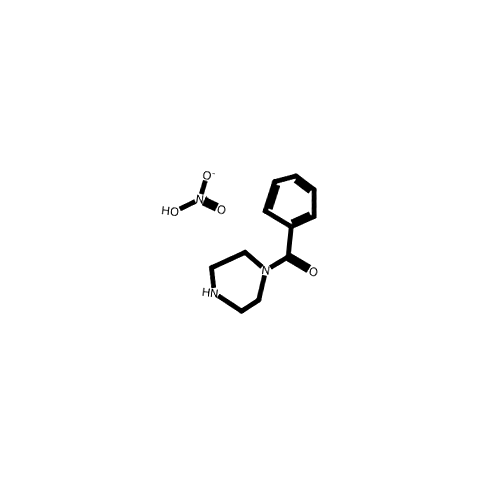 O=C(c1ccccc1)N1CCNCC1.O=[N+]([O-])O